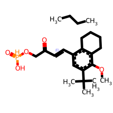 CCCC.COc1c(C(C)(C)C)cc(/C=C/C(=O)CO[PH](=O)O)c2c1CCCC2